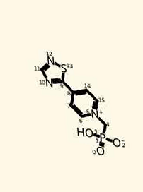 O=P([O-])(O)C[n+]1ccc(-c2ncns2)cc1